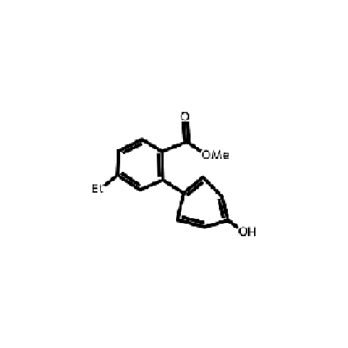 CCc1ccc(C(=O)OC)c(-c2ccc(O)cc2)c1